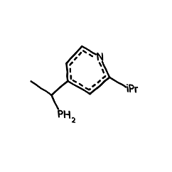 CC(C)c1cc(C(C)P)ccn1